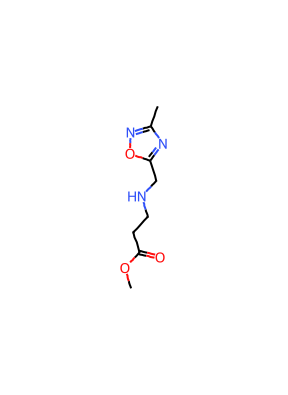 COC(=O)CCNCc1nc(C)no1